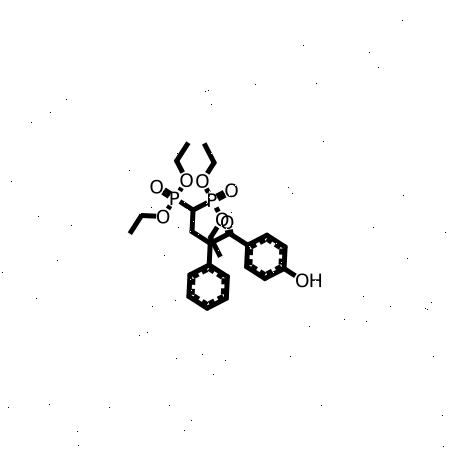 CCOP(=O)(OCC)C(CC(C(=O)c1ccc(O)cc1)c1ccccc1)P(=O)(OCC)OCC